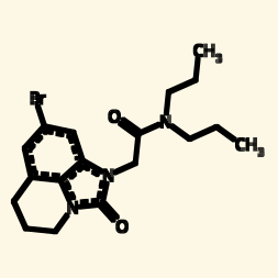 CCCN(CCC)C(=O)Cn1c(=O)n2c3c(cc(Br)cc31)CCC2